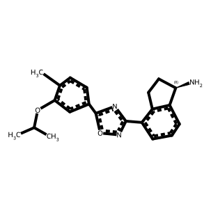 Cc1ccc(-c2nc(-c3cccc4c3CC[C@H]4N)no2)cc1OC(C)C